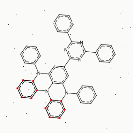 c1ccc(-c2nc(-c3ccccc3)nc(-c3cc(N(c4ccccc4)c4ccccc4)c(N(c4ccccc4)c4ccccc4)c(N(c4ccccc4)c4ccccc4)c3)n2)cc1